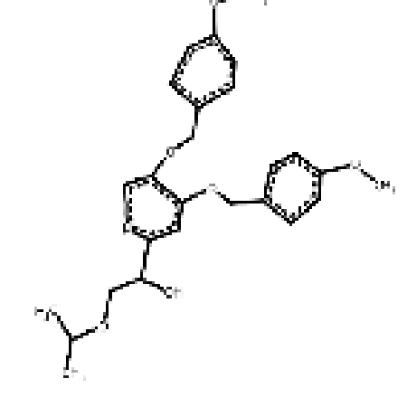 COc1ccc(COc2cnc(C(O)COC(C)C)cc2OCc2ccc(OC)cc2)cc1